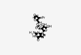 CCCC1C(COP(=O)(O)OC2C(O)C(O)OC2n2nnc3c(=O)[nH]c(N)nc32)OC2OC21